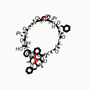 CC(C)C[C@H]1C(=O)N[C@@](C)([C@@H](C)O)CC(=O)N[C@H](C(=O)N(C)[C@@H](Cc2ccccc2)C(=O)N(C)[C@@H](Cc2ccccc2)C(=O)N[C@@H](C)C(=O)N2CCCCC2)CC(=O)N(C)CCC(=O)N(C)[C@@H](C)CC(=O)N(C)C[C@@H](Cc2ccccc2)C(=O)N[C@@H](C(C)C)C(=O)N(C)[C@@](C)(CC(C)C)C(=O)N(C)CCC(=O)N1C